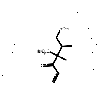 C=CC(=O)C(C)(C(=O)O)C(C)CCCCCCCCC.N